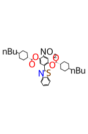 CCCC[C@H]1CC[C@H](C(=O)Oc2cc([N+](=O)[O-])c(OC(=O)[C@H]3CC[C@H](CCCC)CC3)cc2-c2nc3ccccc3s2)CC1